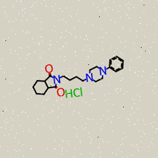 Cl.O=C1C2CCCCC2C(=O)N1CCCCN1CCN(c2ccccc2)CC1